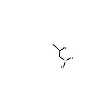 CCN(CC(C)O)C(C)C